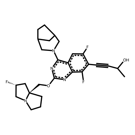 CC(O)C#Cc1c(F)cc2c(N3CC4CCC(C4)C3)nc(OC[C@@]34CCCN3C[C@H](F)C4)nc2c1F